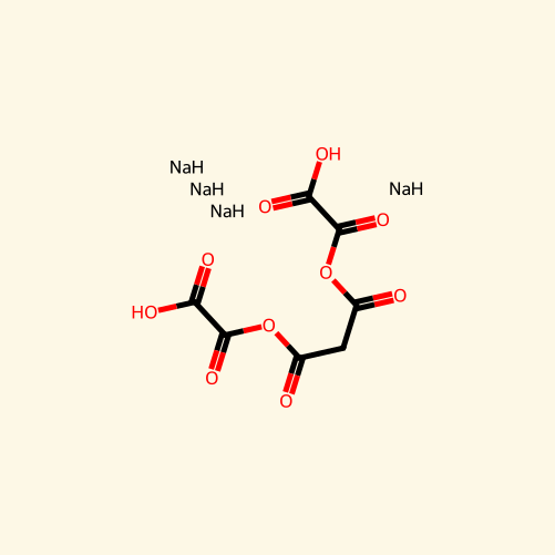 O=C(CC(=O)OC(=O)C(=O)O)OC(=O)C(=O)O.[NaH].[NaH].[NaH].[NaH]